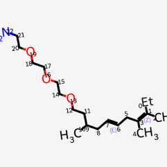 CC/C(C)=C(/C)C/C=C/CC(C)CCOCCOCCOCCN